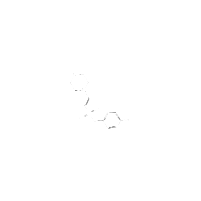 O=S(=O)(C=CN1CCNCC1)Cc1ccc(Cl)cc1